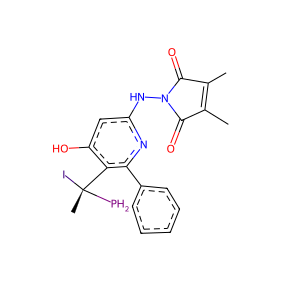 CC1=C(C)C(=O)N(Nc2cc(O)c([C@](C)(P)I)c(-c3ccccc3)n2)C1=O